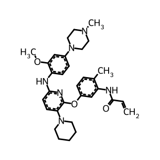 C=CC(=O)Nc1cc(Oc2nc(Nc3ccc(N4CCN(C)CC4)cc3OC)ccc2N2CCCCC2)ccc1C